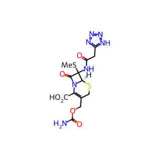 CSC1(NC(=O)Cc2nnn[nH]2)C(=O)N2C(C(=O)O)=C(COC(N)=O)CS[C@@H]21